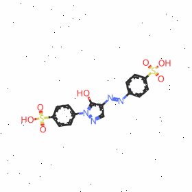 O=S(=O)(O)c1ccc(N=Nc2cnn(-c3ccc(S(=O)(=O)O)cc3)c2O)cc1